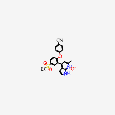 CCS(=O)(=O)c1ccc(Oc2ccc(C#N)cc2)c(-c2cc(C)[n+]([O-])c3[nH]ccc23)c1